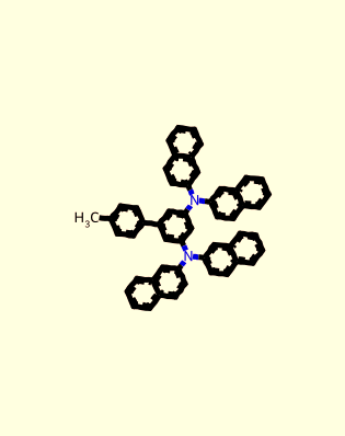 Cc1ccc(-c2cc(N(c3ccc4ccccc4c3)c3ccc4ccccc4c3)cc(N(c3ccc4ccccc4c3)c3ccc4ccccc4c3)c2)cc1